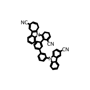 N#CC1=Cc2c(n(C3=C(c4cccc(-c5cccc(-n6c7ccccc7c7cc(C#N)ccc76)c5)c4)C(C#N)=CCC3)c3ccccc23)CC=C1